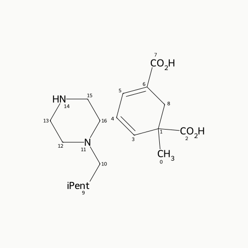 CC1(C(=O)O)C=CC=C(C(=O)O)C1.CCCC(C)CN1CCNCC1